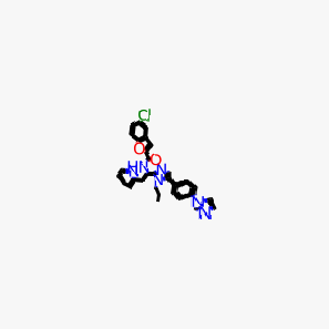 CCCn1c(-c2ccc(-n3ccnc3)cc2)cnc1C(Cc1ccccn1)NC(=O)c1cc2cc(Cl)ccc2o1